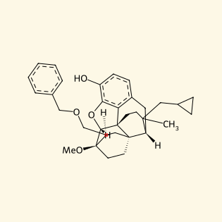 CO[C@]12CC[C@@]3(C[C@@H]1COCc1ccccc1)[C@H]1Cc4ccc(O)c5c4[C@@]3(CCC1(C)CC1CC1)[C@H]2O5